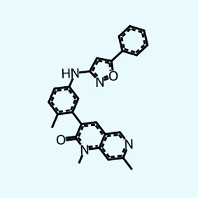 Cc1cc2c(cn1)cc(-c1cc(Nc3cc(-c4ccccc4)on3)ccc1C)c(=O)n2C